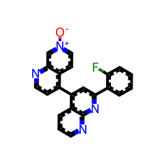 [O-][n+]1ccc2c(-c3cc(-c4ccccc4F)nc4ncccc34)ccnc2c1